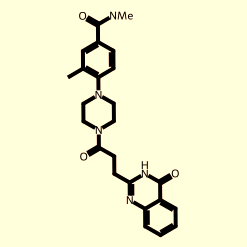 CNC(=O)c1ccc(N2CCN(C(=O)CCc3nc4ccccc4c(=O)[nH]3)CC2)c(C)c1